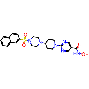 O=C(NO)c1cnc(N2CCC(N3CCN(S(=O)(=O)c4ccc5ccccc5c4)CC3)CC2)nc1